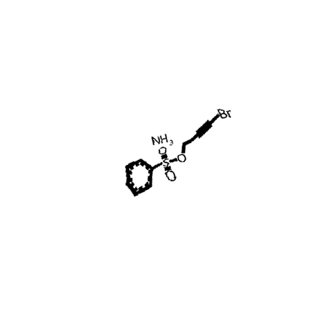 N.O=S(=O)(OCC#CBr)c1ccccc1